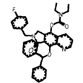 CCN(CC)C(=O)Oc1c2c(c(OC(c3ccccc3)c3ccccc3)c3ncccc13)C(=O)N(Cc1ccc(F)cc1)C2